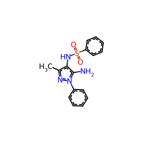 Cc1nn(-c2ccccc2)c(N)c1NS(=O)(=O)c1ccccc1